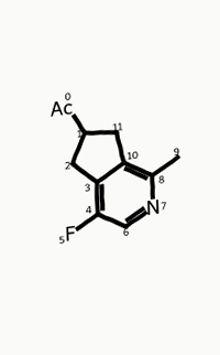 CC(=O)C1Cc2c(F)cnc(C)c2C1